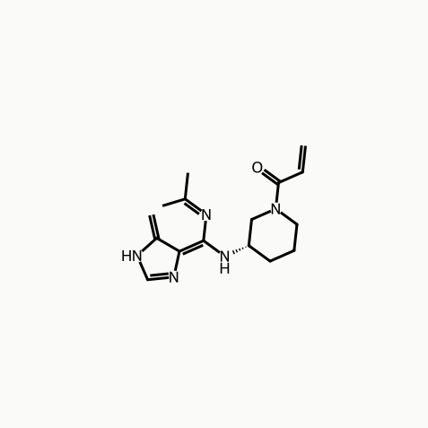 C=CC(=O)N1CCC[C@H](N/C(N=C(C)C)=c2\nc[nH]c2=C)C1